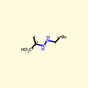 CCCCCNNC(C)C(=O)O